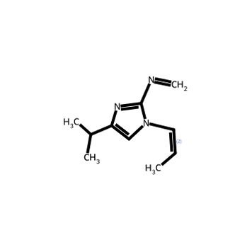 C=Nc1nc(C(C)C)cn1/C=C\C